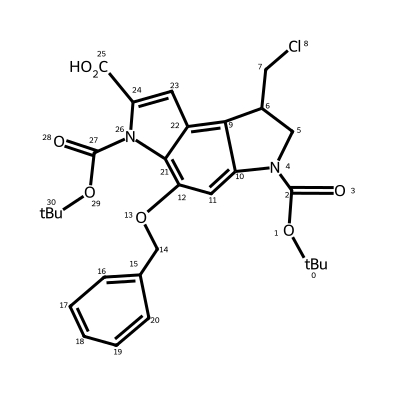 CC(C)(C)OC(=O)N1CC(CCl)c2c1cc(OCc1ccccc1)c1c2cc(C(=O)O)n1C(=O)OC(C)(C)C